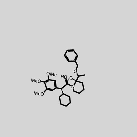 COc1cc([C@@H](C(=O)N2CCCC[C@@]2(C(=O)O)C(C)OCc2ccccc2)C2CCCCC2)cc(OC)c1OC